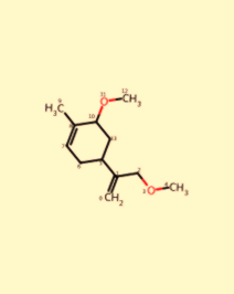 C=C(COC)C1CC=C(C)C(OC)C1